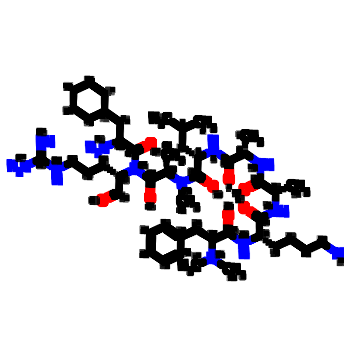 CC(C)C[C@H](NC(=O)[C@H](C)NC(=O)[C@H](C)NC(=O)[C@H](CCCCN)NC(=O)[C@H](Cc1ccccc1)N(C)C)C(=O)N(C)[C@@H](C)C(=O)N(C(=O)[C@@H](N)CC1CCCCC1)[C@H]([C]=O)CCCNC(=N)N